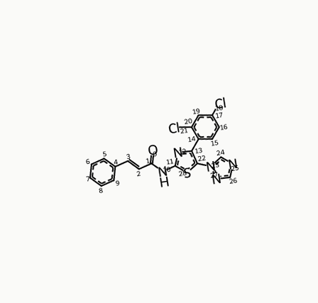 O=C(/C=C/c1ccccc1)Nc1nc(-c2ccc(Cl)cc2Cl)c(-n2cncn2)s1